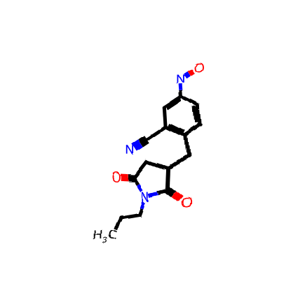 CCCN1C(=O)CC(Cc2ccc(N=O)cc2C#N)C1=O